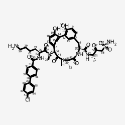 C[C@H](NC(=O)[C@@H]1Cc2ccc(O)c(c2)-c2cc(ccc2O)[C@H](N(C)C(=O)[C@H](CCCCN)NC(=O)c2ccc(-c3ccc(Cl)cc3)cc2)C(=O)N[C@@H](C)C(=O)N1)C(=O)CS(N)(=O)=O